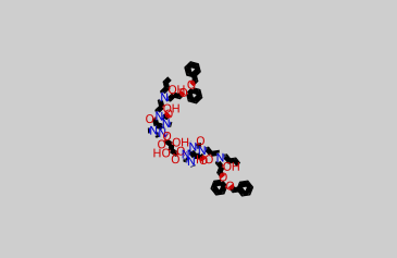 CCCCN(CC(O)COc1ccccc1OCc1ccccc1)CC(O)Cn1c(=O)c2c(n(C)c1=O)N(OC(=O)C(O)C(O)C(=O)ON1CN(C)c3c1n(C)c(=O)n(CC(O)CN(CCCC)CC(O)COc1ccccc1OCc1ccccc1)c3=O)CN2C